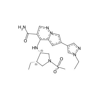 CC[C@H]1CN(S(C)(=O)=O)C[C@H]1Nc1c(C(N)=O)cnn2cc(-c3cnn(CC)c3)cc12